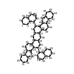 c1ccc2c(-c3cc4cc5c(cc(-c6cncc7ccccc67)c6c5ccc5c7ccccc7sc56)cc4c4ccc5c6ccccc6sc5c34)cncc2c1